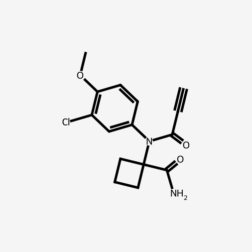 C#CC(=O)N(c1ccc(OC)c(Cl)c1)C1(C(N)=O)CCC1